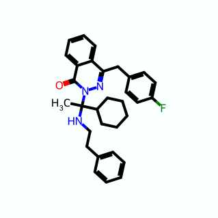 CC(NCCc1ccccc1)(C1CCCCC1)n1nc(Cc2ccc(F)cc2)c2ccccc2c1=O